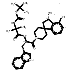 CC(C)(C)OC(=O)NC(C)(C)C(=O)N[C@H](Cc1c[nH]c2ccccc12)C(=O)N1CCC2(CC1)C[C@H](O)c1c(O)cccc12